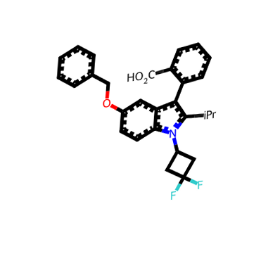 CC(C)c1c(-c2ccccc2C(=O)O)c2cc(OCc3ccccc3)ccc2n1C1CC(F)(F)C1